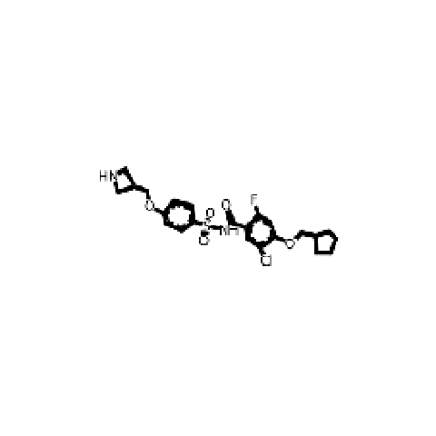 O=C(NS(=O)(=O)c1ccc(OCC2CNC2)cc1)c1cc(Cl)c(OCC2CCCC2)cc1F